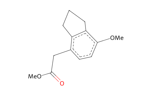 COC(=O)Cc1ccc(OC)c2c1CCC2